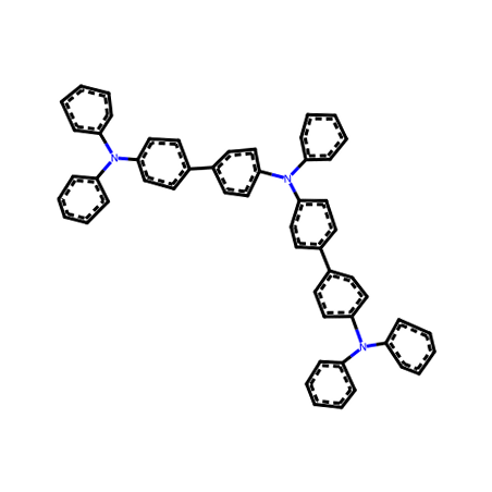 c1ccc(N(c2ccccc2)c2ccc(-c3ccc(N(c4ccccc4)c4ccc(-c5ccc(N(c6ccccc6)c6ccccc6)cc5)cc4)cc3)cc2)cc1